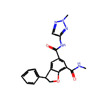 CNC(=O)c1cc(C(=O)Nc2cnn(C)n2)cc2c1OCC2c1ccccc1